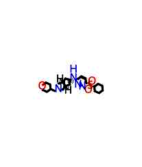 O=S(=O)(c1ccc(N[C@@H]2C[C@@H]3CN(CC4CCOCC4)C[C@@H]3C2)nn1)C1CCCCC1